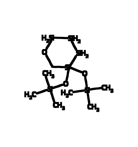 C[Si](C)(C)O[Si]1(O[Si](C)(C)C)CO[SiH2][SiH2][SiH2]1